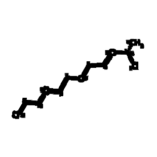 C[C@H](Cl)OCCOCCOCCCl